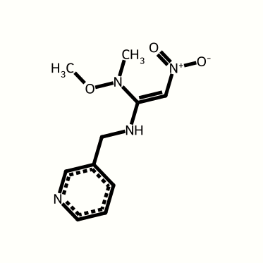 CON(C)C(=C[N+](=O)[O-])NCc1cccnc1